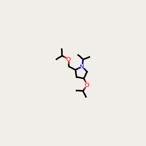 CC(C)OCC1CC(OC(C)C)CN1C(C)C